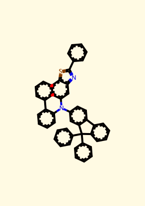 c1ccc(-c2nc3cc(N(c4ccc5c(c4)C(c4ccccc4)(c4ccccc4)c4ccccc4-5)c4ccccc4-c4ccccc4)ccc3s2)cc1